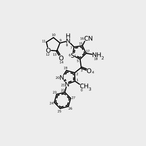 Cc1c(C(=O)c2sc(NC3CCOC3=O)c(C#N)c2N)cnn1-c1ccccc1